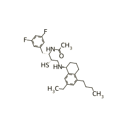 CCCCc1cc(CC)cc2c1CCC[C@@H]2NC[C@H](S)[C@H](Cc1cc(F)cc(F)c1)NC(C)=O